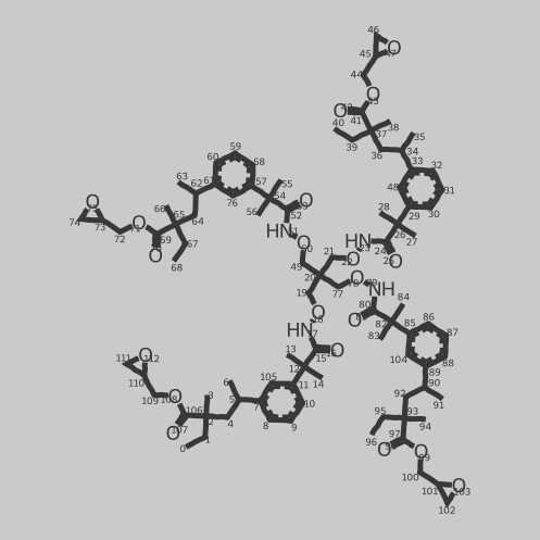 CCC(C)(CC(C)c1cccc(C(C)(C)C(=O)NOCC(CONC(=O)C(C)(C)c2cccc(C(C)CC(C)(CC)C(=O)OCC3CO3)c2)(CONC(=O)C(C)(C)c2cccc(C(C)CC(C)(CC)C(=O)OCC3CO3)c2)CONC(=O)C(C)(C)c2cccc(C(C)CC(C)(CC)C(=O)OCC3CO3)c2)c1)C(=O)OCC1CO1